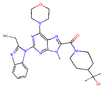 Cn1c(C(=O)N2CCC(C(C)(C)O)CC2)nc2c(N3CCOCC3)nc(-n3c(CC#N)nc4ccccc43)nc21